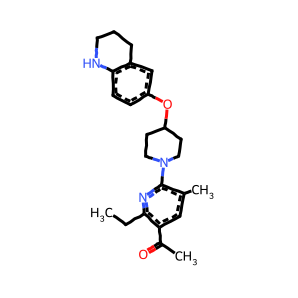 CCc1nc(N2CCC(Oc3ccc4c(c3)CCCN4)CC2)c(C)cc1C(C)=O